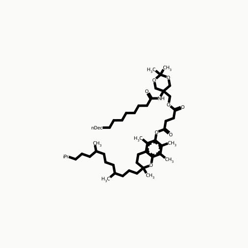 CCCCCCCCCCCCCCCCCC(=O)NC1(COC(=O)CCC(=O)Oc2c(C)c(C)c3c(c2C)CCC(C)(CCCC(C)CCCC(C)CCCC(C)C)O3)COC(C)(C)OC1